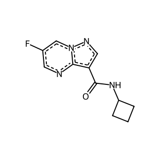 O=C(NC1CCC1)c1cnn2cc(F)cnc12